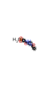 CS(=O)(=O)c1ccc(NC(=O)N2CCCN(C(=O)CC3CCCC3)CC2)cc1